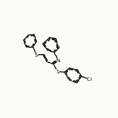 Clc1ccc(SC(C=CSc2ccccc2)=Nc2ccccc2)cc1